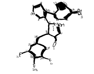 O=C1CNC(c2cnccc2-c2ccc(Br)cc2)C1Cc1cc(F)c(F)c(F)c1